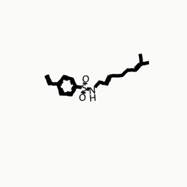 C=Cc1ccc(S(=O)(=O)NC/C=C/CCC=C(C)C)cc1